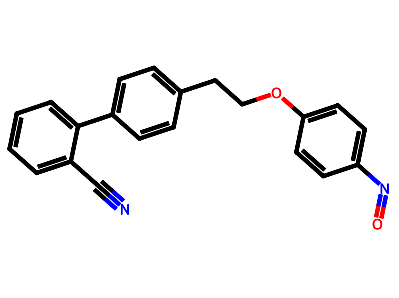 N#Cc1ccccc1-c1ccc(CCOc2ccc(N=O)cc2)cc1